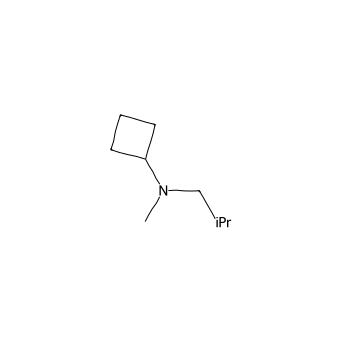 CC(C)CN(C)C1CCC1